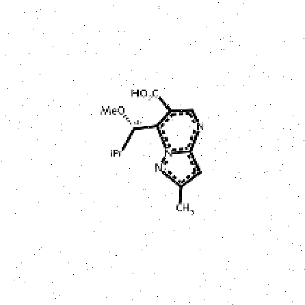 CO[C@H](c1c(C(=O)O)cnc2cc(C)nn12)C(C)C